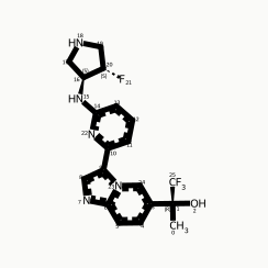 C[C@@](O)(c1ccc2ncc(-c3cccc(N[C@H]4CNC[C@@H]4F)n3)n2c1)C(F)(F)F